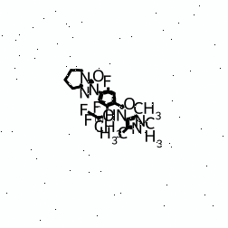 Cc1nn(C)c(C)c1NC(=O)c1cc(F)c(-n2nc3n(c2=O)CCCC3)cc1O[C@@H](C)C(F)(F)F